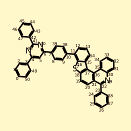 c1ccc(-c2cc(-c3ccc(-c4cccc5c4sc4ccc6c(-c7ccccc7)nc7ccccc7c6c45)cc3)nc(-c3ccccc3)n2)cc1